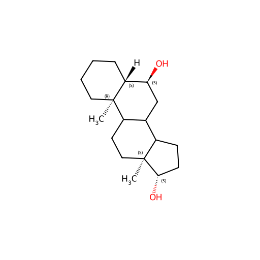 C[C@]12CCC3C(C[C@H](O)[C@H]4CCCC[C@]34C)C1CC[C@@H]2O